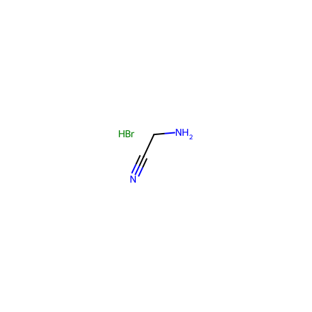 Br.N#CCN